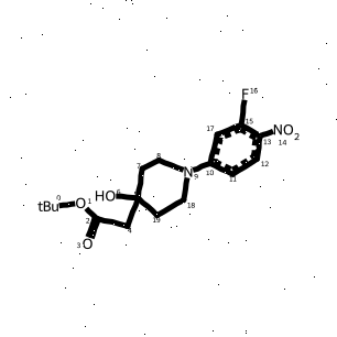 CC(C)(C)OC(=O)CC1(O)CCN(c2ccc([N+](=O)[O-])c(F)c2)CC1